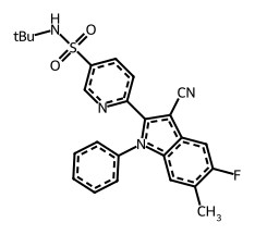 Cc1cc2c(cc1F)c(C#N)c(-c1ccc(S(=O)(=O)NC(C)(C)C)cn1)n2-c1ccccc1